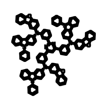 c1ccc(-n2c3ccccc3c3cc(N(c4cccc(-c5cc(-c6cccc(N(c7ccc8oc9ccccc9c8c7)c7ccc8c(c7)c7ccccc7n8-c7ccccc7)c6)nc(-c6cccc(N(c7ccc8oc9ccccc9c8c7)c7ccc8c(c7)c7ccccc7n8-c7ccccc7)c6)n5)c4)c4ccc5oc6ccccc6c5c4)ccc32)cc1